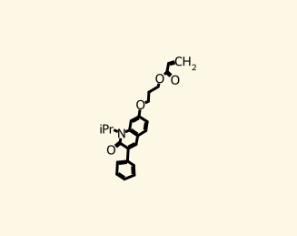 C=CC(=O)OCCCOc1ccc2cc(-c3ccccc3)c(=O)n(C(C)C)c2c1